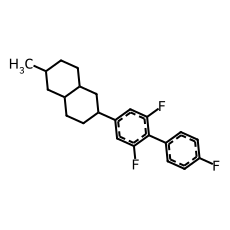 CC1CCC2CC(c3cc(F)c(-c4ccc(F)cc4)c(F)c3)CCC2C1